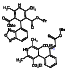 CCOC(=O)C1=C(C)NC(C)=C(C(=O)OCC)C1c1ccccc1/C=C/C(=O)OC(C)(C)C.COC(=O)C1=C(C)NC(C)=C(C(=O)OC(C)C)C1c1cccc2nonc12